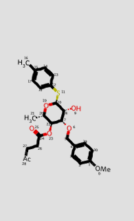 COc1ccc(CO[C@H]2[C@@H](O)[C@H](Sc3ccc(C)cc3)O[C@@H](C)[C@@H]2OC(=O)CCC(C)=O)cc1